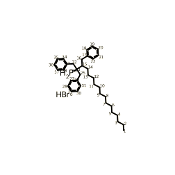 Br.CCCCCCCCCCCCCCC(Cc1ccccc1)C(P)(Cc1ccccc1)Cc1ccccc1